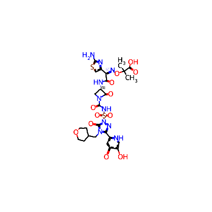 CC(C)(O/N=C(\C(=O)N[C@H]1CN(C(=O)NS(=O)(=O)n2nc(-c3cc(=O)c(O)c[nH]3)n(CC3CCOCC3)c2=O)C1=O)c1csc(N)n1)C(=O)O